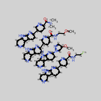 CN(C)C(=O)c1ccc(-c2ccc3c(n2)[nH]c2ccncc23)cn1.COCCNC(=O)c1ccc(-c2ccc3c(n2)[nH]c2ccncc23)cn1.COc1cnn(-c2ccc3c(n2)[nH]c2ccncc23)c1.O=C(NCCF)c1ccc(-c2ccc3c(n2)[nH]c2ccncc23)cn1